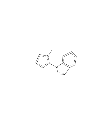 Cn1cccc1[C]1C=Cc2ccccc21